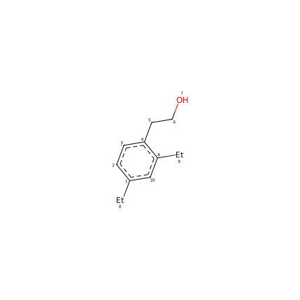 CCc1c[c]c(CCO)c(CC)c1